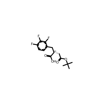 CC(C)(C)OC(=O)C[C@@H](Cc1ccc(F)c(F)c1F)C(=O)O